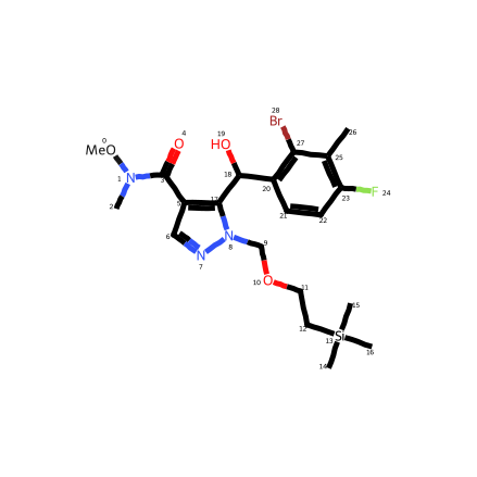 CON(C)C(=O)c1cnn(COCC[Si](C)(C)C)c1C(O)c1ccc(F)c(C)c1Br